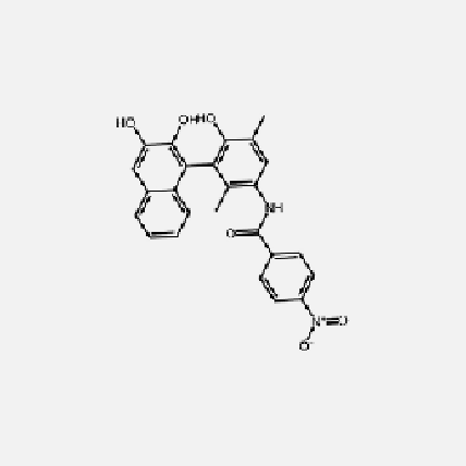 Cc1cc(NC(=O)c2ccc([N+](=O)[O-])cc2)c(C)c(-c2c(O)c(O)cc3ccccc23)c1O